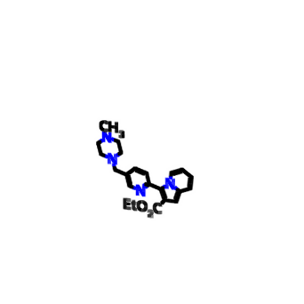 CCOC(=O)c1cc2ccccn2c1-c1ccc(CN2CCN(C)CC2)cn1